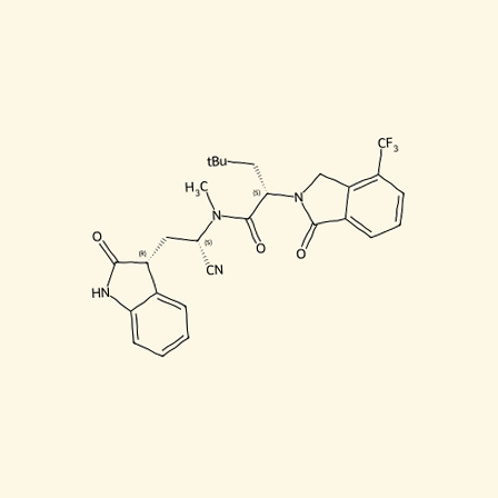 CN(C(=O)[C@H](CC(C)(C)C)N1Cc2c(cccc2C(F)(F)F)C1=O)[C@H](C#N)C[C@H]1C(=O)Nc2ccccc21